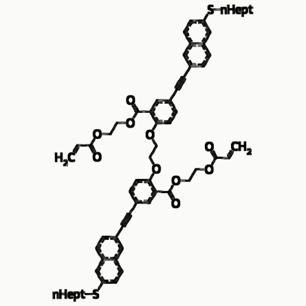 C=CC(=O)OCCOC(=O)c1cc(C#Cc2ccc3cc(SCCCCCCC)ccc3c2)ccc1OCCOc1ccc(C#Cc2ccc3cc(SCCCCCCC)ccc3c2)cc1C(=O)OCCOC(=O)C=C